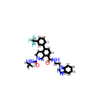 CC(C)(C)NC(=O)N1CCc2c(-c3cccc(C(F)(F)F)c3)ccc(C(=O)NCCn3nnc4ccccc43)c2C1